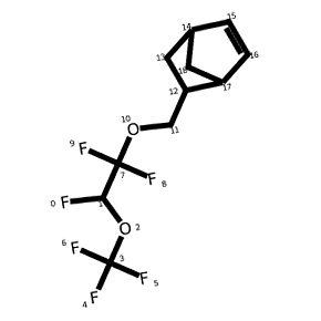 FC(OC(F)(F)F)C(F)(F)OCC1CC2C=CC1C2